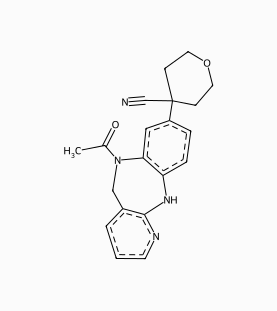 CC(=O)N1Cc2cccnc2Nc2ccc(C3(C#N)CCOCC3)cc21